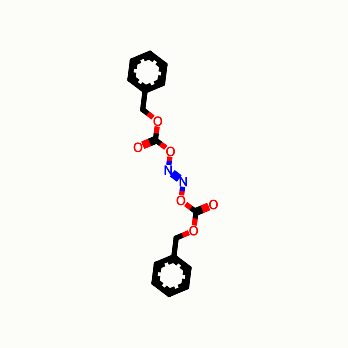 O=C(OCc1ccccc1)ON=NOC(=O)OCc1ccccc1